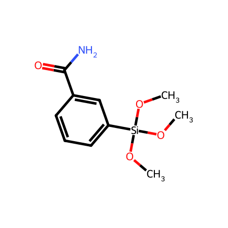 CO[Si](OC)(OC)c1cccc(C(N)=O)c1